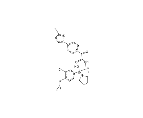 C[C@@H](NC(=O)C(=O)c1ccc(-c2ccc(Cl)s2)cc1)[C@](O)(c1ccc(OC2CC2)c(Cl)c1)N1CCCC1